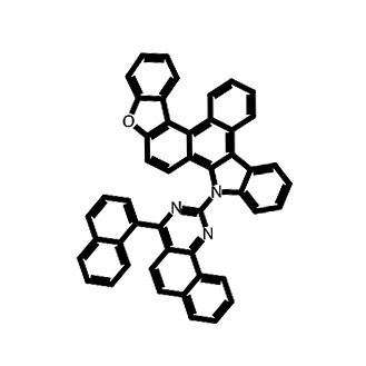 c1ccc2c(-c3nc(-n4c5ccccc5c5c6ccccc6c6c(ccc7oc8ccccc8c76)c54)nc4c3ccc3ccccc34)cccc2c1